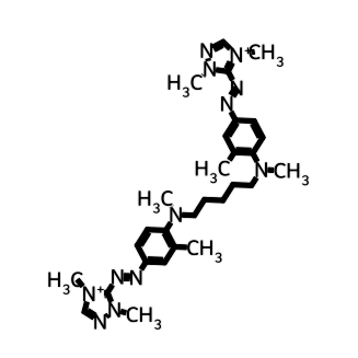 Cc1cc(/N=N/c2n(C)nc[n+]2C)ccc1N(C)CCCCCN(C)c1ccc(/N=N/c2n(C)nc[n+]2C)cc1C